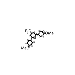 COc1ccc(-c2cc(C(F)(F)F)cc(-c3ccc(OC)cc3)n2)cc1